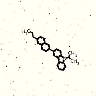 CCCc1ccc2cc(-c3ccc4c(c3)c3ccccc3n4C(C)C)ccc2c1